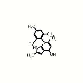 CC1=CC(O)c2cc(C)[nH]c2N1c1c(C)cc(C)cc1C